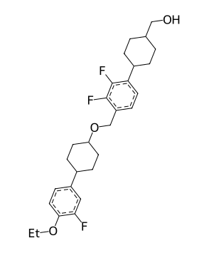 CCOc1ccc(C2CCC(OCc3ccc(C4CCC(CO)CC4)c(F)c3F)CC2)cc1F